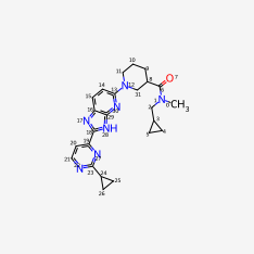 CN(CC1CC1)C(=O)C1CCCN(c2ccc3nc(-c4ccnc(C5CC5)n4)[nH]c3n2)C1